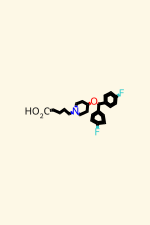 O=C(O)CCCCN1CCC(OC(c2ccc(F)cc2)c2ccc(F)cc2)CC1